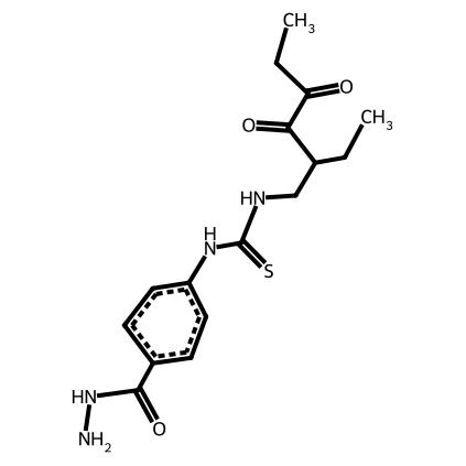 CCC(=O)C(=O)C(CC)CNC(=S)Nc1ccc(C(=O)NN)cc1